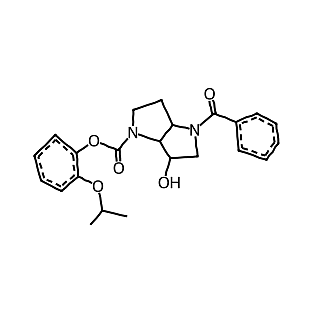 CC(C)Oc1ccccc1OC(=O)N1CCC2C1C(O)CN2C(=O)c1ccccc1